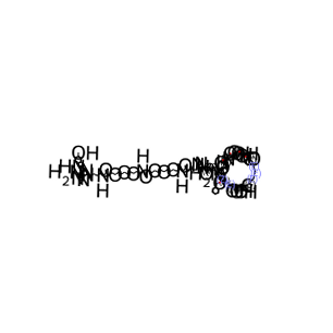 CO[C@H]1C[C@@H]2CC[C@@H](C)[C@@](O)(O2)C(=O)C(=O)N2CCCC[C@H]2C(=O)O[C@H]([C@H](N)C[C@@H]2CC[C@H](n3cc(CCCC(=O)NCCOCCOCCOCCC(=O)NCCOCCOCCOCCC(=O)NCCCCn4nc(-c5cc6cc(O)ccc6[nH]5)c5c(N)ncnc54)nn3)[C@H](OC)C2)C/C(=N/OCc2ccccc2)[C@H](C)/C=C(\C)[C@@H](O)[C@@H](O)C(=O)[C@H](C)C[C@H](C)/C=C/C=C/C=C/1C